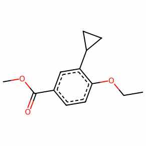 CCOc1ccc(C(=O)OC)cc1C1CC1